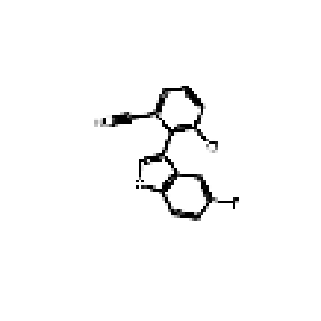 C#Cc1cccc(Cl)c1-c1coc2ccc(F)cc12